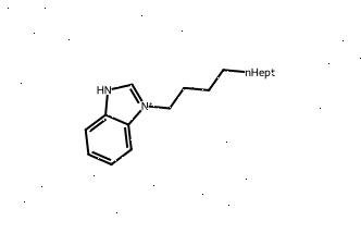 CCCCCCCCCCC[n+]1c[nH]c2ccccc21